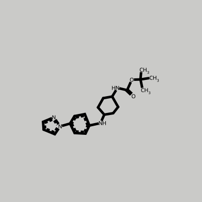 CC(C)(C)OC(=O)NC1CCC(Nc2ccc(-n3cccn3)cc2)CC1